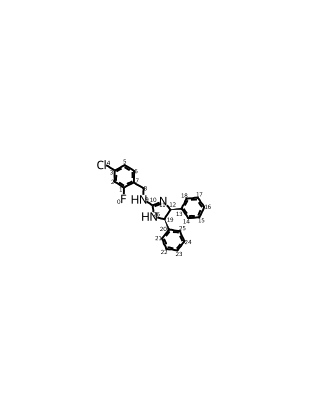 Fc1cc(Cl)ccc1CNC1=N[C@@H](c2ccccc2)[C@@H](c2ccccc2)N1